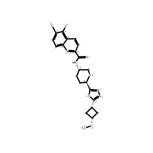 O=C(N[C@H]1CC[C@H](c2nnc([C@H]3C[C@@H](OC(F)(F)F)C3)o2)OC1)c1ccc2c(F)c(F)ccc2n1